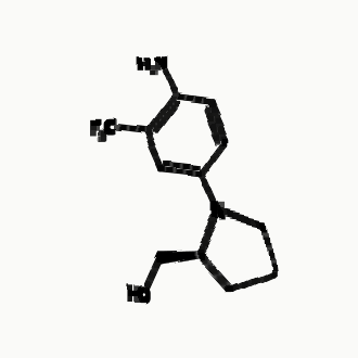 Nc1ccc(N2CCC[C@H]2CO)cc1C(F)(F)F